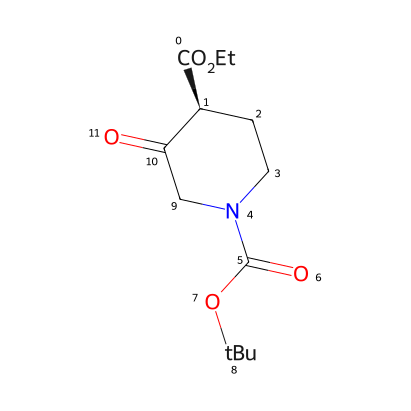 CCOC(=O)[C@H]1CCN(C(=O)OC(C)(C)C)CC1=O